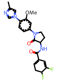 COc1cc(N2CCC(NC(=O)C3=CCC(F)C(F)=C3)C2=O)ccc1-n1cnc(C)c1